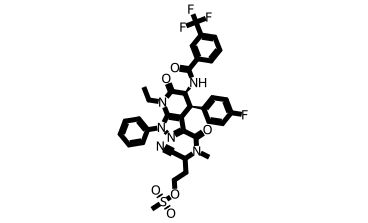 CCN1C(=O)[C@@H](NC(=O)c2cccc(C(F)(F)F)c2)[C@@H](c2ccc(F)cc2)c2c(C(=O)N(C)C(C#N)CCOS(C)(=O)=O)nn(-c3ccccc3)c21